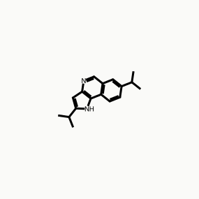 CC(C)c1ccc2c(cnc3cc(C(C)C)[nH]c32)c1